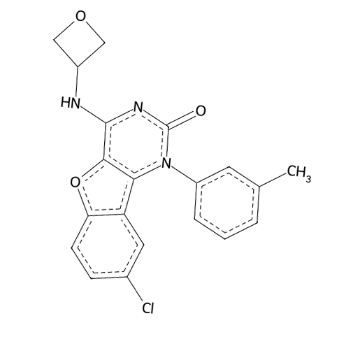 Cc1cccc(-n2c(=O)nc(NC3COC3)c3oc4ccc(Cl)cc4c32)c1